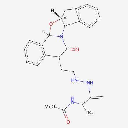 C=C(NNCCC1C(=O)N2C3c4ccccc4C[C@H]3OC2(C)c2ccccc21)C(NC(=O)OC)C(C)(C)C